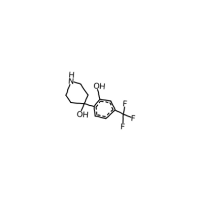 Oc1cc(C(F)(F)F)ccc1C1(O)CCNCC1